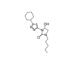 CCCCCN1CC(O)N(c2nnc(C3CCCCC3)s2)C1=O